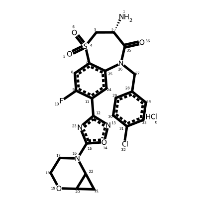 Cl.N[C@H]1CS(=O)(=O)c2cc(F)c(-c3noc(N4CCOC5CC54)n3)cc2N(Cc2ccc(Cl)cc2)C1=O